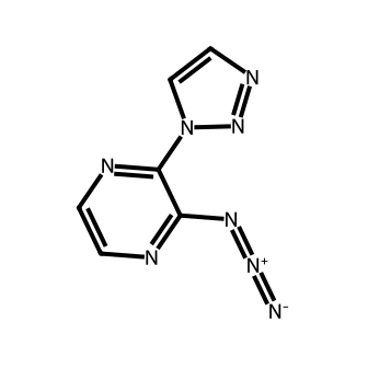 [N-]=[N+]=Nc1nccnc1-n1ccnn1